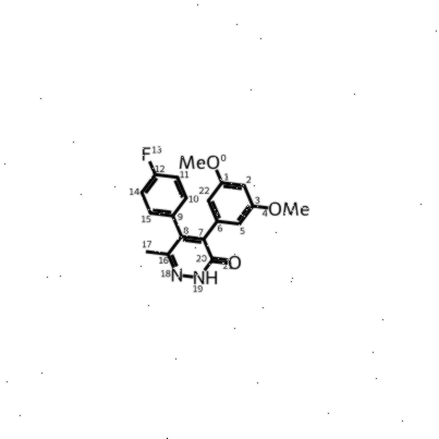 COc1cc(OC)cc(-c2c(-c3ccc(F)cc3)c(C)n[nH]c2=O)c1